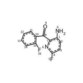 Nc1ccc(F)nc1C(=O)c1ccccc1F